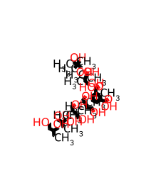 CC(C)(CO)CCO.CC(CO)C(C)(C)O.CC(CO)C(C)CO.CC(O)C(C)(C)CO.CCC(CO)C(C)O.CCC(CO)CCO.Cc1c(C(=O)O)cccc1C(=O)O